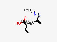 C=C(C)C(=O)O.CC(=O)O.CCCC(=O)O.CCOC(N)=O